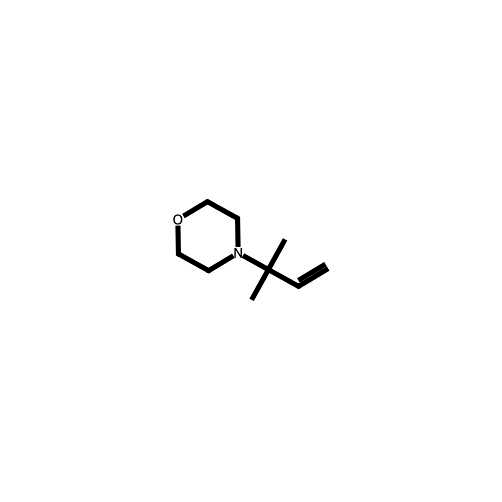 C=CC(C)(C)N1CCOCC1